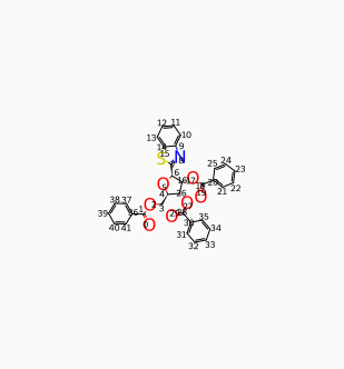 O=C(OC[C@H]1O[C@@H](c2nc3ccccc3s2)[C@H](OC(=O)c2ccccc2)[C@@H]1OC(=O)c1ccccc1)c1ccccc1